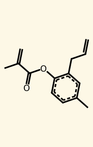 C=CCc1cc(C)ccc1OC(=O)C(=C)C